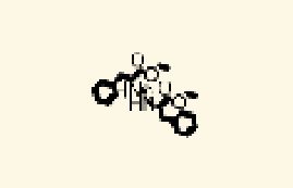 CCOC(=O)C(Cc1ccccc1)NONC(Cc1ccccc1)C(=O)OCC